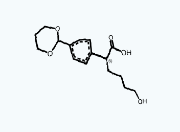 O=C(O)[C@@H](CCCCO)c1ccc(C2OCCCO2)cc1